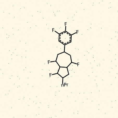 CCCC1CC2C(F)CC(c3cc(F)c(F)c(F)c3)CC(F)C2C1F